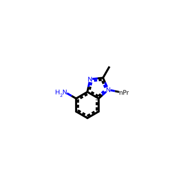 CCCn1c(C)nc2c(N)cccc21